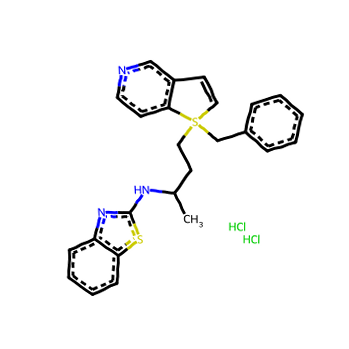 CC(CCS1(Cc2ccccc2)C=Cc2cnccc21)Nc1nc2ccccc2s1.Cl.Cl